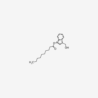 CCCCCCCCCC(=O)On1cc(CO)c2ccccc21